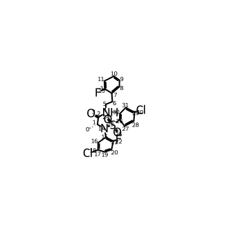 C[C@H](C(=O)NCCc1ccccc1F)N(c1cc(Cl)ccc1F)S(=O)(=O)c1ccc(Cl)cc1